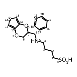 O=S(=O)(O)CCCCNCC1COc2cscc2O1.c1ccncc1